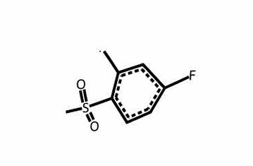 [CH2]c1cc(F)ccc1S(C)(=O)=O